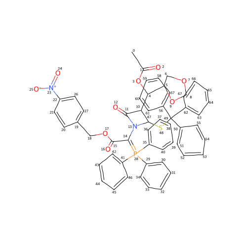 CC(=O)OC(C1COCO1)C1C(=O)N(C(C(=O)OCc2ccc([N+](=O)[O-])cc2)=P(c2ccccc2)(c2ccccc2)c2ccccc2)C1SC(c1ccccc1)(c1ccccc1)c1ccccc1